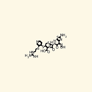 N=C(N)NCCSc1cnccc1SC1=C(C(=O)O)N2C(=O)[C@@H](NC(=O)/C(=N\O)c3csc(N)n3)[C@@H]2SC1